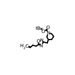 C=CCCc1nc(CC2CCCN(C(=O)OC(C)(C)C)C2)no1